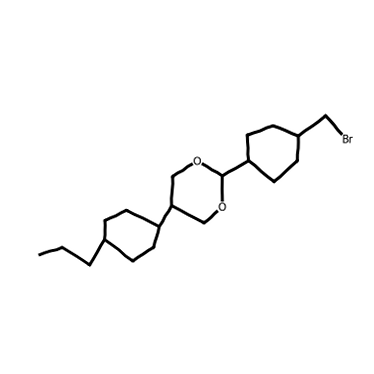 CCCC1CCC(C2COC(C3CCC(CBr)CC3)OC2)CC1